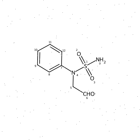 NS(=O)(=O)N(C[C]=O)c1ccccc1